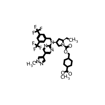 CC[C@@H]1C[C@H](N(Cc2cc(C(F)(F)F)cc(C(F)(F)F)c2)c2ncc(-c3cnn(C)c3)cn2)CN1C(=O)OCC1CCC(C(=O)OC)CC1